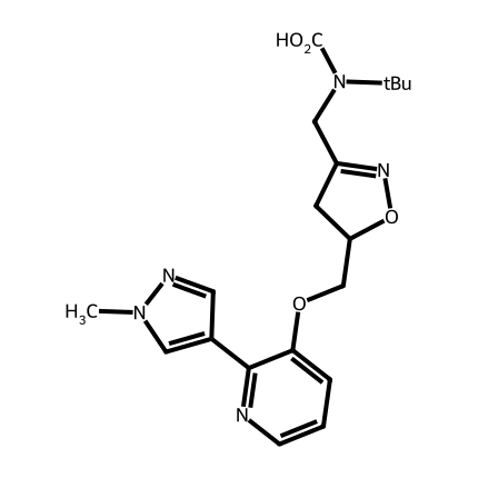 Cn1cc(-c2ncccc2OCC2CC(CN(C(=O)O)C(C)(C)C)=NO2)cn1